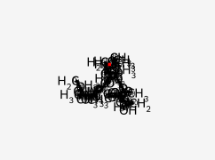 C=CCOC(=O)N[C@H](C(=O)N[C@@H](C)C(=O)Nc1ccc(COC(=O)Nc2cc(OCCCOc3cc(NC(=O)OC(C)(C)C)c(C(=O)N4CC(=C)C[C@H]4CO)cc3OC)c(OC)cc2C(=O)N2CC(=C)C[C@H]2CO[Si](C)(C)C(C)(C)C)cc1)C(C)C